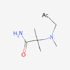 CC(=O)CN(C)C(C)(C)C(N)=O